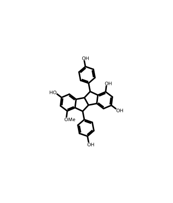 COc1cc(O)cc2c1C(c1ccc(O)cc1)C1c3cc(O)cc(O)c3C(c3ccc(O)cc3)C21